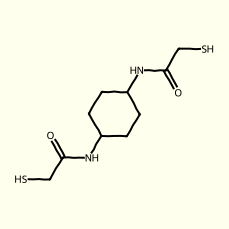 O=C(CS)NC1CCC(NC(=O)CS)CC1